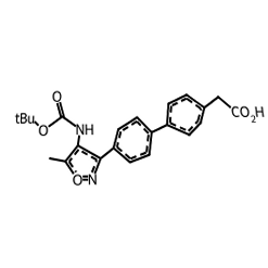 Cc1onc(-c2ccc(-c3ccc(CC(=O)O)cc3)cc2)c1NC(=O)OC(C)(C)C